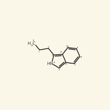 CCCc1[nH][c]c2ccccc12